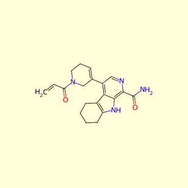 C=CC(=O)N1CCC=C(c2cnc(C(N)=O)c3[nH]c4c(c23)CCCC4)C1